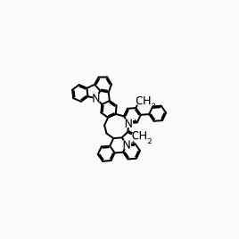 C=C1C2C(CCc3cc4c(cc3-c3cc(C)c(-c5ccccc5)c[n+]31)c1cccc3c5ccccc5n4c31)c1ccccc1-c1cccc[n+]12